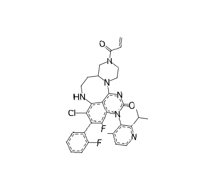 C=CC(=O)N1CCN2c3nc(=O)n(-c4c(C)ccnc4C(C)C)c4c(F)c(-c5ccccc5F)c(Cl)c(c34)NCCC2C1